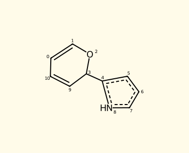 C1=COC(c2ccc[nH]2)C=C1